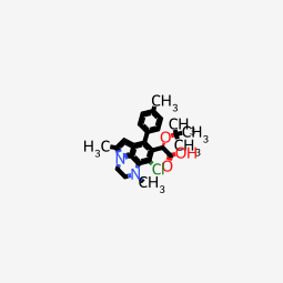 Cc1ccc(-c2c([C@@H](OC(C)(C)C)C(=O)O)c(Cl)c3c4c2cc(C)n4CCN3C)cc1